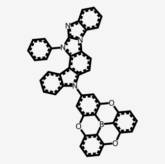 c1ccc(-n2c3c4c5ccccc5n(-c5cc6c7c(c5)Oc5cccc8c5B7c5c(cccc5O6)O8)c4ccc3n3c4ccccc4nc23)cc1